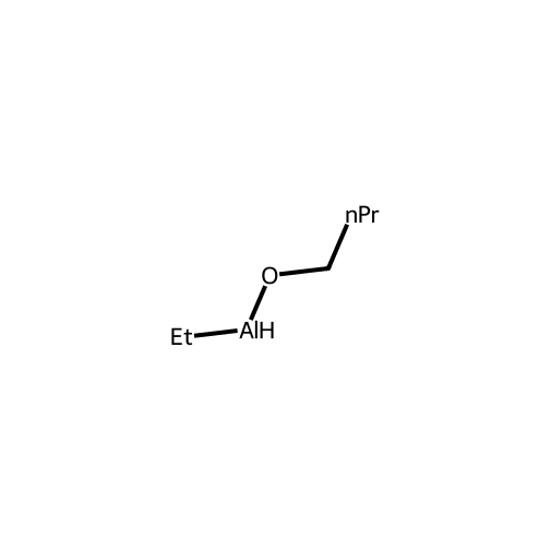 CCCC[O][AlH][CH2]C